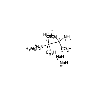 NC(C(=O)O)(C(=O)O)C(N)(C(=O)O)C(=O)O.[MgH2].[NaH].[NaH]